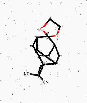 N#CC(C#N)=C1C2CC3CC1CC(C2)C31OCCO1